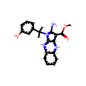 COC(=O)c1c(N)n(C(C)(C)c2cccc(O)c2)c2nc3ccccc3nc12